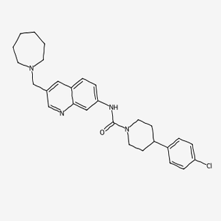 O=C(Nc1ccc2cc(CN3CCCCCC3)cnc2c1)N1CCC(c2ccc(Cl)cc2)CC1